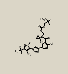 Cn1nc(C(F)(F)C(F)(F)F)c(C(F)(F)F)c1-n1cc(-c2ccc(Cl)c(C(=O)N(COC(=O)OCC(C)(C)C(=O)O)C3(C#N)CC3)c2)cn1